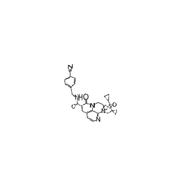 N#Cc1ccc(CNC(=O)c2cc3ccnc4c3n(c2=O)CCN4CC2(S(=O)(=O)C3CC3)CC2)cc1